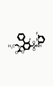 CCn1c(=O)oc2cc(S(=O)(=O)Nc3cccc(F)n3)c(F)c(-c3ccccc3)c21